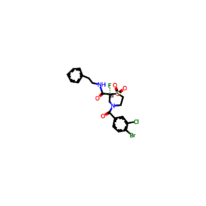 O=C(c1ccc(Br)c(Cl)c1)N1CCS(=O)(=O)[C@](F)(C(=O)NCCc2ccccc2)C1